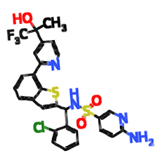 CC(O)(c1ccnc(-c2cccc3cc(C(NS(=O)(=O)c4ccc(N)nc4)c4ccccc4Cl)sc23)c1)C(F)(F)F